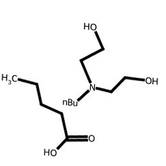 CCCCC(=O)O.CCCCN(CCO)CCO